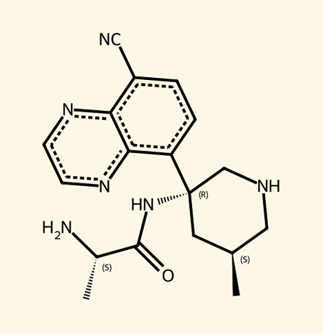 C[C@@H]1CNC[C@](NC(=O)[C@H](C)N)(c2ccc(C#N)c3nccnc23)C1